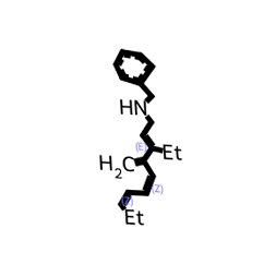 C=C(/C=C\C=C/CC)/C(=C/CNCc1ccccc1)CC